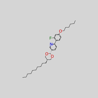 CCCCCCCCCC[C@H]1CO[C@H](c2ccc(-c3ccc(OCCCCCC)cc3F)nc2)OC1